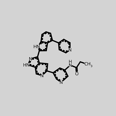 CCC(=O)Nc1cncc(-c2cc3c(-c4cc5c(-c6ccncc6)cccc5[nH]4)n[nH]c3cn2)c1